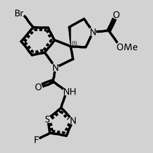 COC(=O)N1CC[C@@]2(C1)CN(C(=O)Nc1ncc(F)s1)c1ccc(Br)cc12